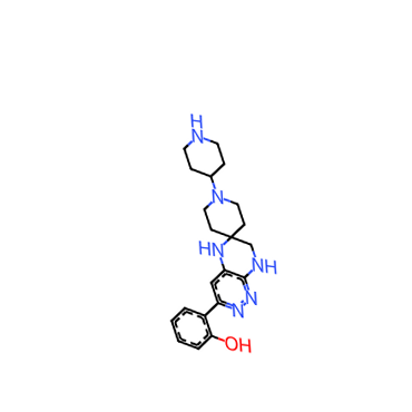 Oc1ccccc1-c1cc2c(nn1)NCC1(CCN(C3CCNCC3)CC1)N2